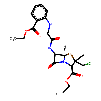 CC1(CCl)S[C@@H]2C(NC(=O)CNc3ccccc3C(=O)OCC(Cl)(Cl)Cl)C(=O)N2C1C(=O)OCC(Cl)(Cl)Cl